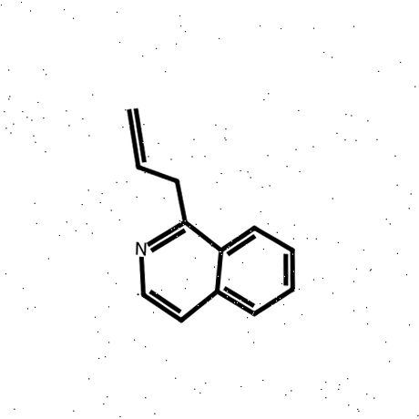 C=CCc1n[c]cc2ccccc12